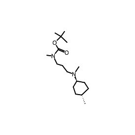 CN(CCCN(C)[C@H]1CC[C@H](C)CC1)C(=O)OC(C)(C)C